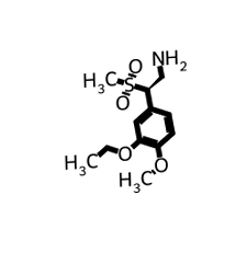 CCOc1cc([C@H](CN)S(C)(=O)=O)ccc1OC